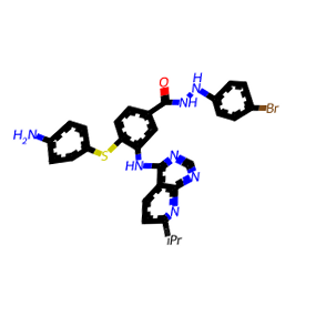 CC(C)c1ccc2c(Nc3cc(C(=O)NNc4ccc(Br)cc4)ccc3Sc3ccc(N)cc3)ncnc2n1